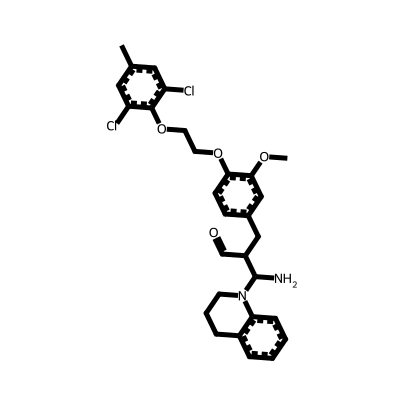 COc1cc(CC(C=O)C(N)N2CCCc3ccccc32)ccc1OCCOc1c(Cl)cc(C)cc1Cl